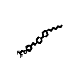 CCCCCCC[C@H]1CC[C@H]([C@H]2CC[C@H](C=Cc3ccc(OCC(F)F)cc3)CC2)CC1